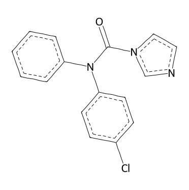 O=C(N(c1ccccc1)c1ccc(Cl)cc1)n1ccnc1